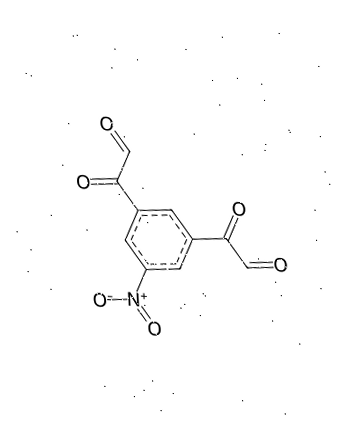 O=CC(=O)c1cc(C(=O)C=O)cc([N+](=O)[O-])c1